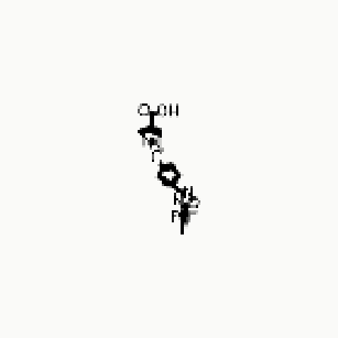 O=C(O)c1cnn(COc2ccc(-c3noc(C(F)(F)F)n3)cc2)c1